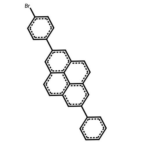 Brc1ccc(-c2cc3ccc4cc(-c5ccccc5)cc5ccc(c2)c3c45)cc1